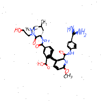 COc1ccc(-c2ccc(C(=O)N[C@@H](CC(C)C)C(=O)NCCO)cc2C(=O)O)c(C(=O)Nc2ccc(C(=N)N)cc2)n1